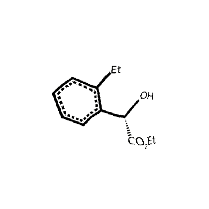 CCOC(=O)[C@@H](O)c1ccccc1CC